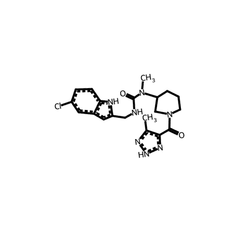 Cc1n[nH]nc1C(=O)N1CCCC(N(C)C(=O)NCc2cc3cc(Cl)ccc3[nH]2)C1